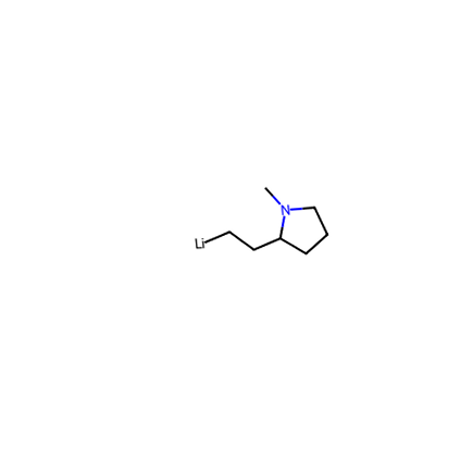 [Li][CH2]CC1CCCN1C